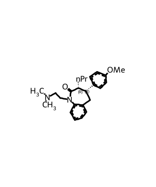 CCC[C@H]1C(=O)N(CCN(C)C)c2ccccc2C[C@H]1c1ccc(OC)cc1